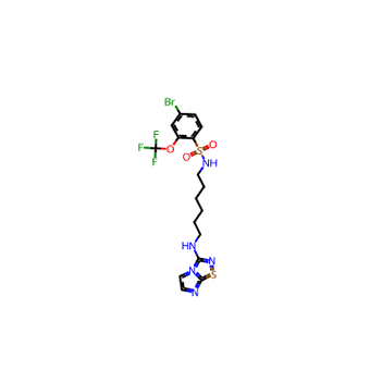 O=S(=O)(NCCCCCCNc1nsc2nccn12)c1ccc(Br)cc1OC(F)(F)F